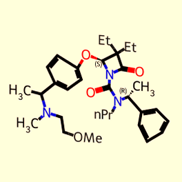 CCCN(C(=O)N1C(=O)C(CC)(CC)[C@@H]1Oc1ccc(C(C)N(C)CCOC)cc1)[C@H](C)c1ccccc1